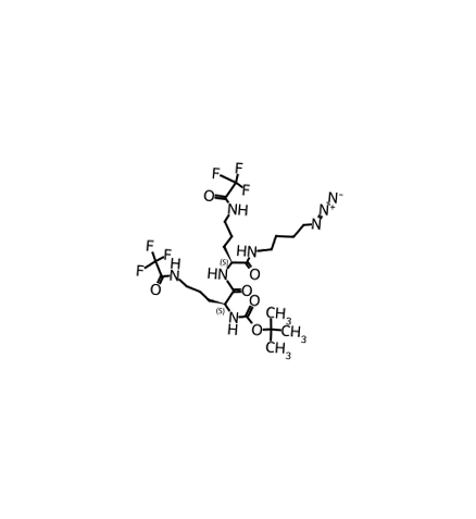 CC(C)(C)OC(=O)N[C@@H](CCCNC(=O)C(F)(F)F)C(=O)N[C@@H](CCCNC(=O)C(F)(F)F)C(=O)NCCCCN=[N+]=[N-]